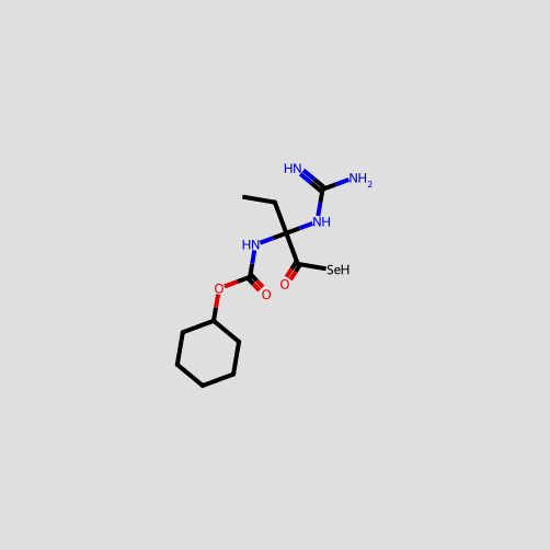 CCC(NC(=N)N)(NC(=O)OC1CCCCC1)C(=O)[SeH]